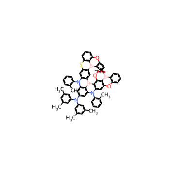 Cc1cc(C)cc(N(c2cc(C)cc(C)c2)c2cc3c4c(c2)N(c2ccccc2C)c2cc5c6c(c2B4c2cc4c(cc2N3c2ccccc2C)Sc2cccc3c2B4c2ccccc2O3)Oc2ccccc2B6c2ccccc2O5)c1